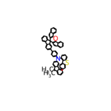 CC1(C)c2ccccc2-c2cc(N(c3ccc(-c4ccc5c(c4)C4(c6ccccc6-5)c5ccc6ccccc6c5Oc5c4ccc4ccccc54)cc3)c3cccc4sc5ccccc5c34)ccc21